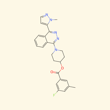 Cc1cc(F)cc(C(=O)OC2CCN(c3nnc(-c4ccnn4C)c4ccccc34)CC2)c1